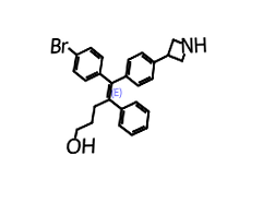 OCCC/C(=C(\c1ccc(Br)cc1)c1ccc(C2CNC2)cc1)c1ccccc1